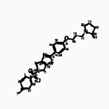 Cc1ccc(S(=O)(=O)N2Cc3nc(-c4ccc(OCCCN5CCCC5C)cc4)sc3C2)cc1